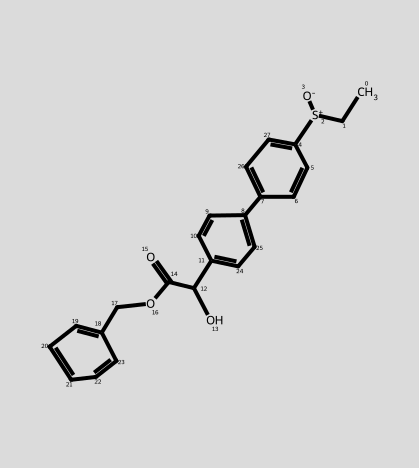 CC[S+]([O-])c1ccc(-c2ccc(C(O)C(=O)OCc3ccccc3)cc2)cc1